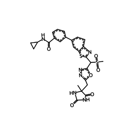 CC1(Cc2nnc(C(c3nc4ccc(-c5cccc(C(=O)NC6CC6)c5)cc4s3)S(C)(=O)=O)o2)NC(=O)NC1=O